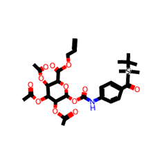 C=CCOC(=O)C1OC(OC(=O)Nc2ccc(C(=O)[Si](C)(C)C(C)(C)C)cc2)C(OC(C)=O)C(OC(C)=O)C1OC(C)=O